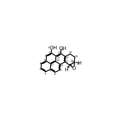 Oc1cc2cccc3ccc4c5c(c(O)c1c4c32)CC[C@@H]1O[C@H]51